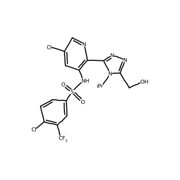 CC(C)n1c(CO)nnc1-c1ncc(Cl)cc1NS(=O)(=O)c1ccc(Cl)c(C(F)(F)F)c1